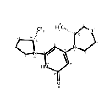 C[C@@H]1COCCN1c1cc(N2CCC[C@@H]2C(F)(F)F)[nH]c(=O)c1